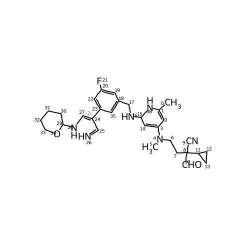 CC1=CC(N(C)CCC(C#N)(C=O)C2CC2)=CC(NCc2cc(F)cc(/C(C=N)=C/NC3CCCCO3)c2)N1